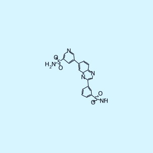 CNS(=O)(=O)c1cccc(-c2cnc3ccc(-c4cncc(S(N)(=O)=O)c4)cc3n2)c1